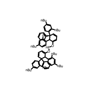 CCCCc1ccc(C2C(OPOC3=CC=CC(c4ccccc4)(c4ccc(CCCC)cc4CCCC)C3c3ccc(CCCC)cc3CCCC)=CC=CC2(c2ccccc2)c2ccc(CCCC)cc2CCCC)c(CCCC)c1